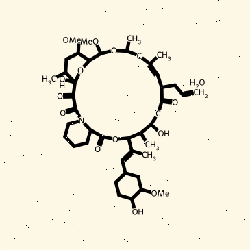 C=CCC1C=C(C)CC(C)CC(OC)C2OC(O)(C(=O)C(=O)N3CCCCC3C(=O)OC(C(C)=CC3CCC(O)C(OC)C3)C(C)C(O)CC1=O)C(C)CC2OC.O